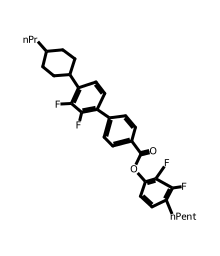 CCCCCc1ccc(OC(=O)c2ccc(-c3ccc(C4CCC(CCC)CC4)c(F)c3F)cc2)c(F)c1F